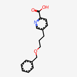 O=C(O)c1ccc(CCCOCc2ccccc2)cn1